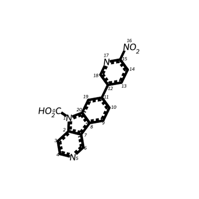 O=C(O)n1c2ccncc2c2ccc(-c3ccc([N+](=O)[O-])nc3)cc21